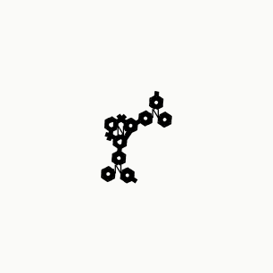 Cc1ccc(N(c2ccccc2)c2ccc(-c3cc4c5c(c3)c3c6n5C5=C(C=CCC5C(C)(C)C=6CC(c5ccc(N(c6ccccc6)c6ccc(C)cc6)cc5)C=3)C4(C)C)cc2)cc1